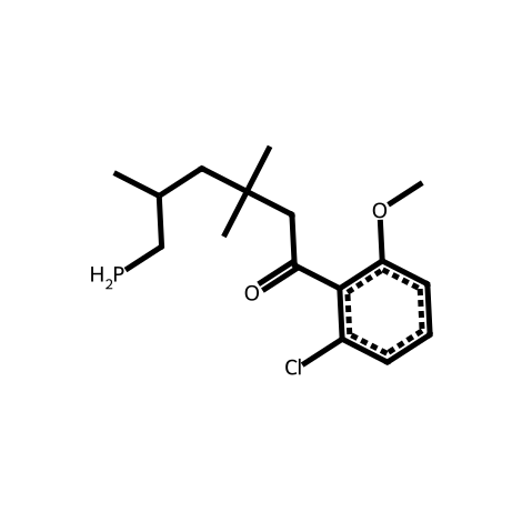 COc1cccc(Cl)c1C(=O)CC(C)(C)CC(C)CP